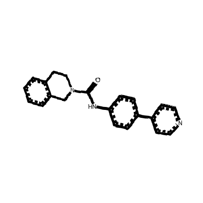 O=C(Nc1ccc(-c2ccncc2)cc1)N1CCc2ccccc2C1